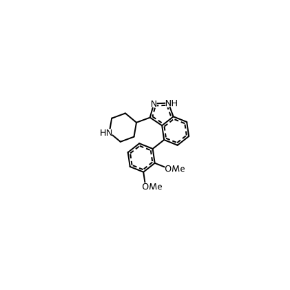 COc1cccc(-c2cccc3[nH]nc(C4CCNCC4)c23)c1OC